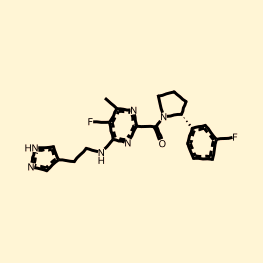 Cc1nc(C(=O)N2CCC[C@@H]2c2cccc(F)c2)nc(NCCc2cn[nH]c2)c1F